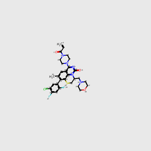 C=CC(=O)N1CCN(c2nc(=O)n3c4c(c(-c5cc(Cl)c(F)cc5F)c(C)cc24)SCC3CN2CCOCC2)CC1